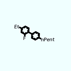 CCCCCc1ccc(-c2ccc(CC)cc2F)cc1